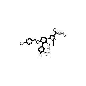 NC(=O)c1cc(-c2ccc(OCc3ccc(Cl)cc3)c(-c3ccc(Cl)c(C(F)(F)F)c3)c2O)[nH]n1